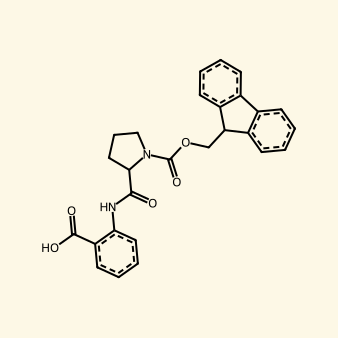 O=C(O)c1ccccc1NC(=O)C1CCCN1C(=O)OCC1c2ccccc2-c2ccccc21